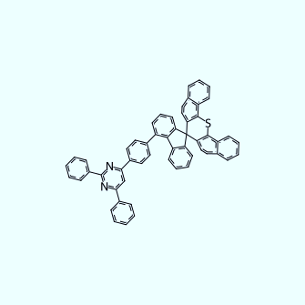 c1ccc(-c2cc(-c3ccc(-c4cccc5c4-c4ccccc4C54c5ccc6ccccc6c5Sc5c4ccc4ccccc54)cc3)nc(-c3ccccc3)n2)cc1